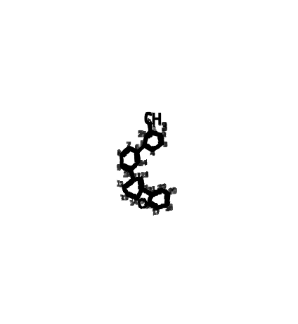 Cc1cccc(-c2cccc(-c3ccc4oc5ccccc5c4c3)c2)c1